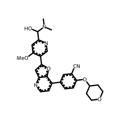 COc1cc(C(O)N(C)C)ncc1-c1cc2nccc(-c3ccc(OC4CCOCC4)c(C#N)c3)c2o1